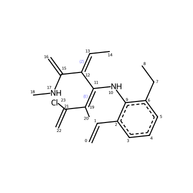 C=Cc1cccc(CC)c1NC(/C(=C\C)C(=C)NC)=C(\C)C(=C)Cl